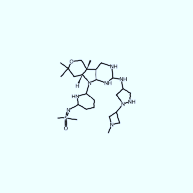 CN1CC(N2CC(NC3NCC4C(N3)N(C3CCCC(N=S(C)(C)=O)N3)[C@@H]3CC(C)(C)OC[C@]43C)CN2)C1